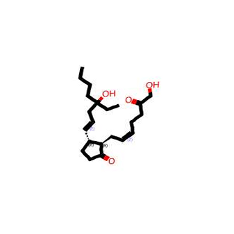 CCCCC(O)(CC)C/C=C/[C@H]1CCC(=O)[C@@H]1C/C=C\CCC(=O)CO